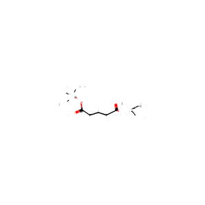 CCCC[Si](OC(=O)CCCC(=O)O[Si](CCCC)(C(C)C)C(C)C)(C(C)C)C(C)C